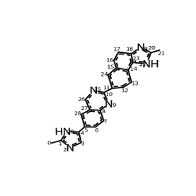 Cc1ncc(-c2ccc3nc(-c4ccc5c(ccc6nc(C)[nH]c65)c4)ncc3c2)[nH]1